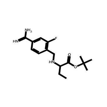 CCC(NCc1ccc(C(=N)N)cc1F)C(=O)OC(C)(C)C